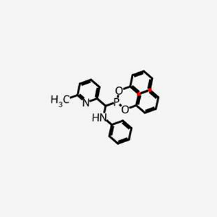 Cc1cccc(C(Nc2ccccc2)P(Oc2ccccc2)Oc2ccccc2)n1